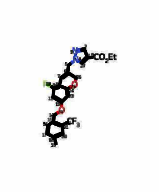 CCOC(=O)c1cnn(CC2=Cc3c(F)cc(OCc4ccc(C)cc4C(F)(F)F)cc3OC2)c1